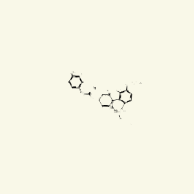 COc1ccc2c3c1O[C@@]1(C)C[C@@H](OC(=O)Nc4ccc(C(=O)O)cc4)C=C[C@@]31CCN(C)C2